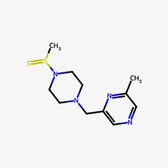 Cc1cncc(CN2CCN(S(C)=S)CC2)n1